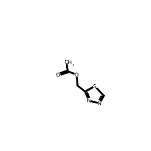 CC(=O)OCc1nncs1